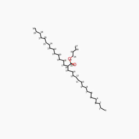 CCCCCCCCCCCCCCCCC(CCCCCCCCCCCCCC)C(=O)OCCCC